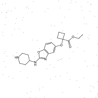 CCOC(=O)C1(Oc2ccc3oc(NC4CCNCC4)nc3c2)CCC1